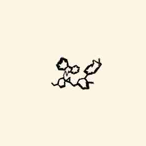 CCC1=CC(n2c3ccccc3c3ccccc32)C2(C=C1)CC2CC1=CC=C(C)C(c2ccncc2)C1